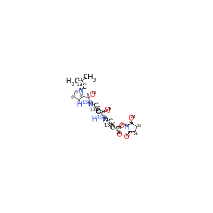 CC(C)[13CH2]N1CCCC1C(=O)[15NH][13CH2][13CH2][13C](=O)[15NH][13CH2][13CH2][13C](=O)ON1C(=O)CCC1=O